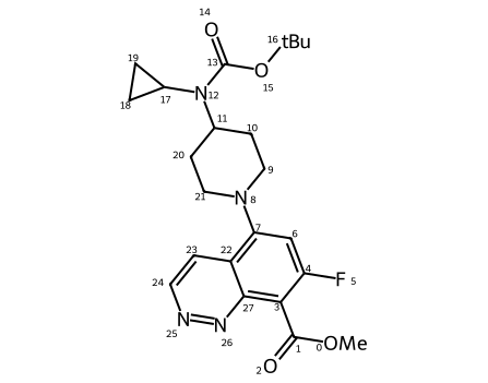 COC(=O)c1c(F)cc(N2CCC(N(C(=O)OC(C)(C)C)C3CC3)CC2)c2ccnnc12